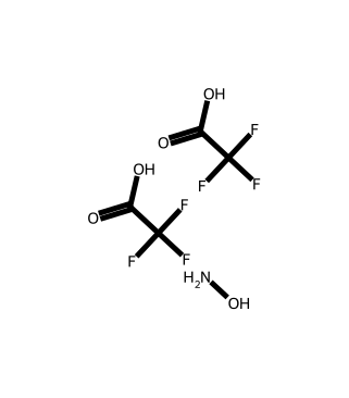 NO.O=C(O)C(F)(F)F.O=C(O)C(F)(F)F